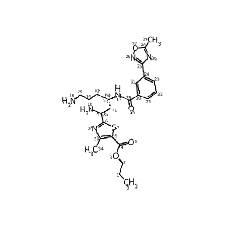 CCCOC(=O)c1sc([C@@H](N)C[C@H](CCCN)NC(=O)c2cccc(-c3noc(C)n3)c2)nc1C